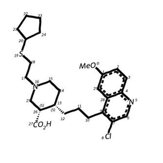 COc1ccc2ncc(Cl)c(CCC[C@H]3CCN(CCSC4CCCC4)C[C@H]3C(=O)O)c2c1